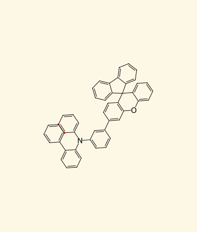 c1ccc(-c2ccccc2N(c2ccccc2)c2cccc(-c3ccc4c(c3)Oc3ccccc3C43c4ccccc4-c4ccccc43)c2)cc1